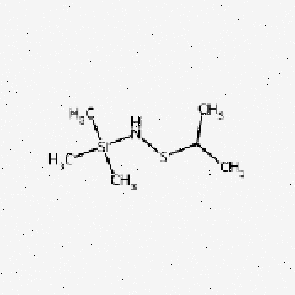 CC(C)SN[Si](C)(C)C